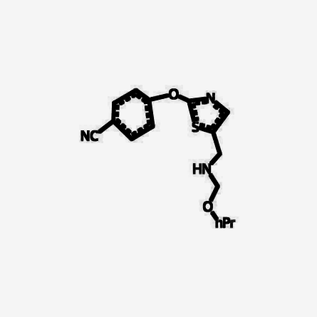 CCCOCNCc1cnc(Oc2ccc(C#N)cc2)s1